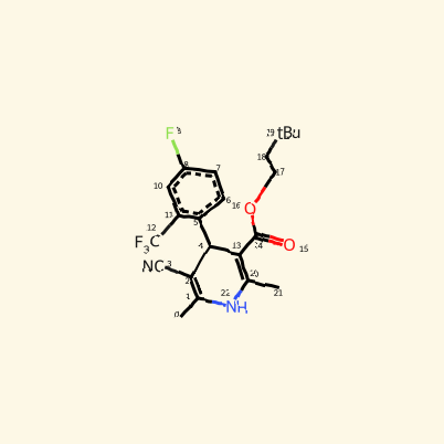 CC1=C(C#N)C(c2ccc(F)cc2C(F)(F)F)C(C(=O)OCCC(C)(C)C)=C(C)N1